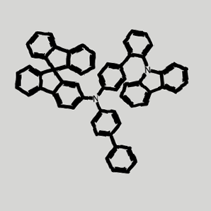 c1ccc(-c2ccc(N(c3ccc(-c4ccccc4-n4c5ccccc5c5ccccc54)cc3)c3ccc4c(c3)C3(c5ccccc5-c5ccccc53)c3ccccc3-4)cc2)cc1